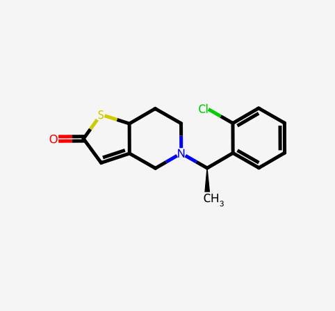 C[C@H](c1ccccc1Cl)N1CCC2SC(=O)C=C2C1